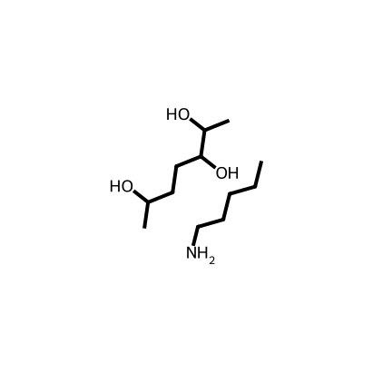 CC(O)CCC(O)C(C)O.CCCCCN